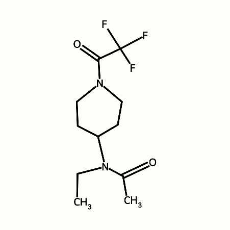 CCN(C(C)=O)C1CCN(C(=O)C(F)(F)F)CC1